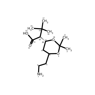 CC1(C)OC(CCN)C[C@H](C(C(=O)O)C(C)(C)C)O1